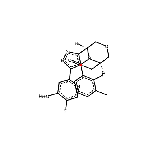 COc1cc(-c2nnc3n2C[C@@H]2COC[C@H]3N2C(=O)c2cccc(C)c2F)ncc1F